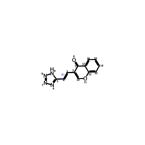 O=c1c(/C=C/c2nnn[nH]2)coc2ccccc12